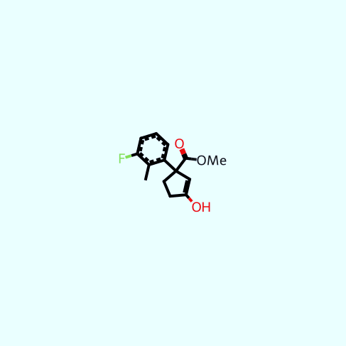 COC(=O)C1(c2cccc(F)c2C)C=C(O)CC1